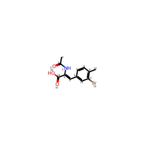 CC(=O)NC(=Cc1ccc(C)c(Br)c1)C(=O)O